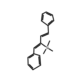 C[Si](C)(C)C(C=Cc1ccccc1)=Cc1ccccc1